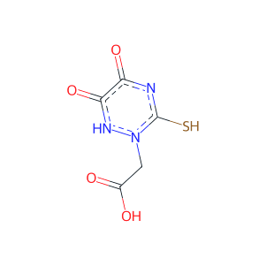 O=C(O)Cn1[nH]c(=O)c(=O)nc1S